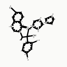 CC(n1cnc2cc(Cl)ccc2c1=O)C(O)(Cn1cncn1)c1ccc(F)cc1F.c1cscn1